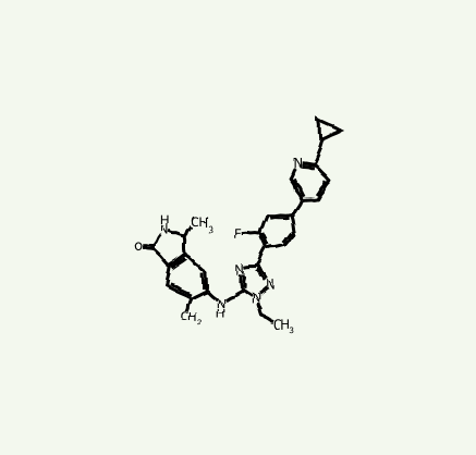 CCn1nc(-c2ccc(-c3ccc(C4CC4)nc3)cc2F)nc1Nc1cc2c(cc1C)C(=O)NC2C